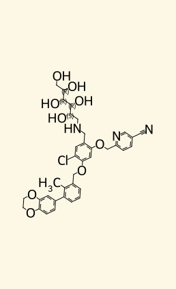 Cc1c(COc2cc(OCc3ccc(C#N)cn3)c(CNC[C@H](O)[C@@H](O)[C@H](O)[C@H](O)CO)cc2Cl)cccc1-c1ccc2c(c1)OCCO2